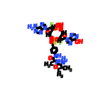 CC(C)[C@H](N)C(=O)N[C@@H](C)C(=O)Nc1ccc(CSP2(=O)OC[C@H]3O[C@@H](n4cnc5c(N)ncnc54)[C@H](F)[C@@H]3OP(=O)(O)OC[C@H]3O[C@@H](n4cnc5c(O)ncnc54)[C@H](F)[C@@H]3O2)cc1